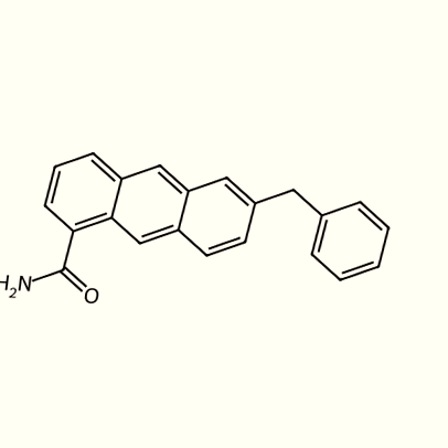 NC(=O)c1cccc2cc3cc(Cc4ccccc4)ccc3cc12